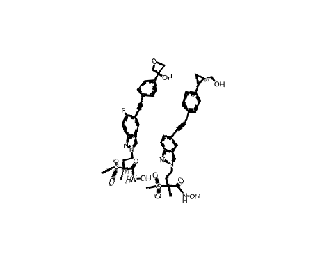 CC(CCn1cc2cc(C#Cc3ccc(C4C[C@H]4CO)cc3)ccc2n1)(C(=O)NO)S(C)(=O)=O.C[C@@](CCn1cc2cc(C#Cc3ccc(C4(O)COC4)cc3)c(F)cc2n1)(C(=O)NO)S(C)(=O)=O